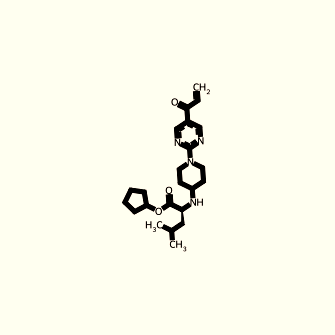 C=CC(=O)c1cnc(N2CCC(N[C@@H](CC(C)C)C(=O)OC3CCCC3)CC2)nc1